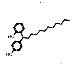 CCCCCCCCCCCC(c1ccc(O)cc1)c1ccccc1O